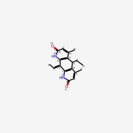 CC=C1c2[nH]c(=O)cc(C)c2C(CC)c2c(C)cc(=O)[nH]c21